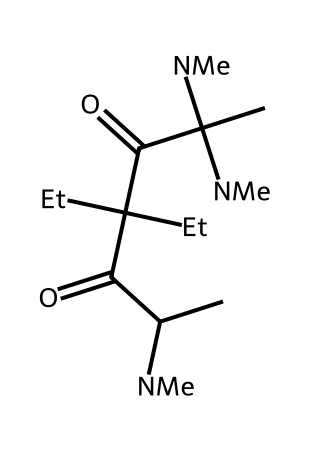 CCC(CC)(C(=O)C(C)NC)C(=O)C(C)(NC)NC